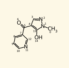 Cn1ncc(C(=O)c2cccnc2)c1O